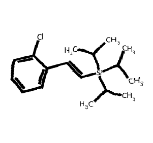 CC(C)[Si](/C=C/c1ccccc1Cl)(C(C)C)C(C)C